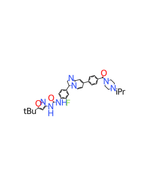 CC(C)N1CCN(C(=O)c2ccc(C3=CC4=NCC(c5ccc(NC(=O)Nc6cc(C(C)(C)C)on6)c(F)c5)N4C=C3)cc2)CC1